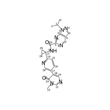 CC(C)n1ncc2cnc(C(=O)NC3(c4ccc(-c5cncn(C)c5=O)cn4)CC3)nc21